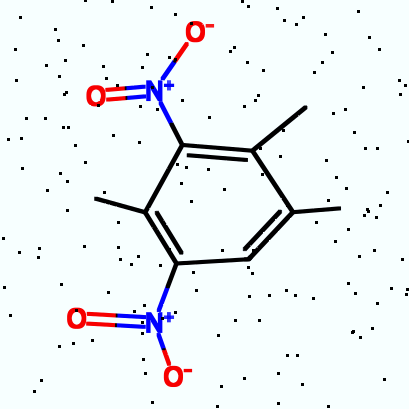 Cc1cc([N+](=O)[O-])c(C)c([N+](=O)[O-])c1C